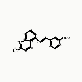 COc1cccc(C=Nc2cccc3nc(C)ccc23)c1